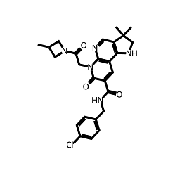 CC1CN(C(=O)Cn2c(=O)c(C(=O)NCc3ccc(Cl)cc3)cc3c4c(cnc32)C(C)(C)CN4)C1